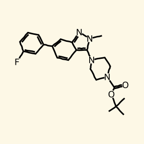 Cn1nc2cc(-c3cccc(F)c3)ccc2c1N1CCN(C(=O)OC(C)(C)C)CC1